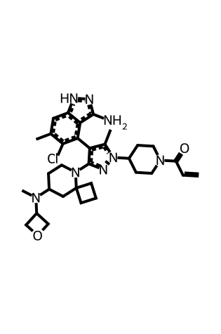 C=CC(=O)N1CCC(n2nc(N3CCC(N(C)C4COC4)CC34CCC4)c(-c3c(Cl)c(C)cc4[nH]nc(N)c34)c2C)CC1